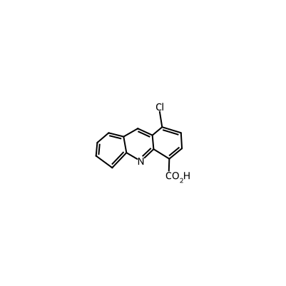 O=C(O)c1ccc(Cl)c2cc3ccccc3nc12